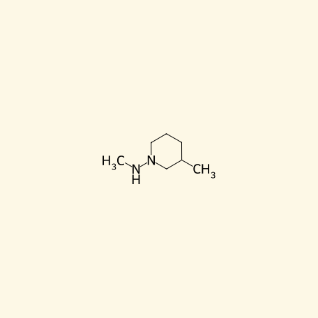 CNN1CCCC(C)C1